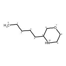 CCCC[CH]C1COCCN1